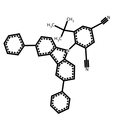 CC(C)(C)c1cc(C#N)cc(C#N)c1-n1c2ccc(-c3ccccc3)cc2c2cc(-c3ccccc3)ccc21